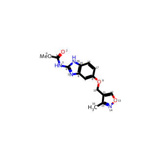 COC(=O)Nc1nc2cc(OCc3conc3C)ccc2[nH]1